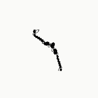 C=CC(=O)OCCCCCCCCCCCOc1ccc(C(=O)Oc2ccc(OC(=O)c3ccc(OCCCCCCCCCCCOC(=O)C=C)cc3)c3ccccc23)cc1